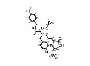 COc1ccc(COC(C)C(OCC2CC2)C(CC/C=C(\NC(=O)OC(C)(C)C)C(=O)O)Cc2ccc(F)cc2)cc1